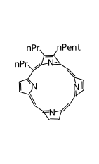 CCCCCC1=C(CCC)C2=C(CCC)C3=NC(=CC4=NC(=CC5=NC(=CC1=N2)C=C5)C=C4)C=C3